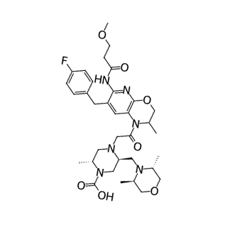 COCCC(=O)Nc1nc2c(cc1Cc1ccc(F)cc1)N(C(=O)CN1C[C@@H](C)N(C(=O)O)C[C@@H]1CN1[C@H](C)COC[C@H]1C)C(C)CO2